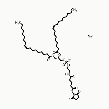 CCCCCCCC/C=C\CCCCCCCC(=O)OC[C@H](COP(=O)([O-])OCCNC(=O)CCCC(=O)ON1C(=O)CCC1=O)OC(=O)CCCCCCC/C=C\CCCCCCCC.[Na+]